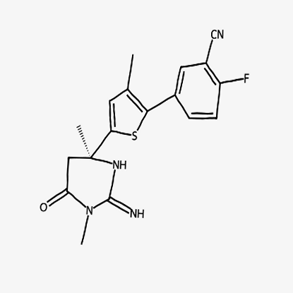 Cc1cc([C@]2(C)CC(=O)N(C)C(=N)N2)sc1-c1ccc(F)c(C#N)c1